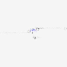 CCCCCCCCCCCCC#CC(=N\c1ccc(CCCCCCCCCCCCCCCCCCCCCCCCCCCCC)cc1)/C(CCCCC)=N/c1ccc(CCCCCCCCCCCCCCCCCCCCCCCCCCCCC)cc1.[Ni+2]